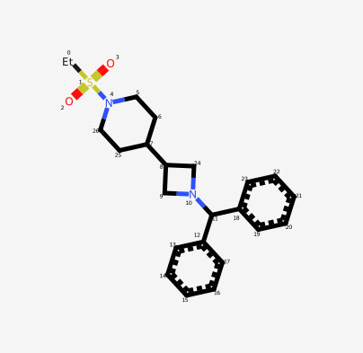 CCS(=O)(=O)N1CCC(C2CN(C(c3ccccc3)c3ccccc3)C2)CC1